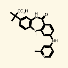 Cc1cc(Nc2ccc3c(c2)Nc2ccc(C(C)(C)C(=O)O)cc2NC3=O)ccn1